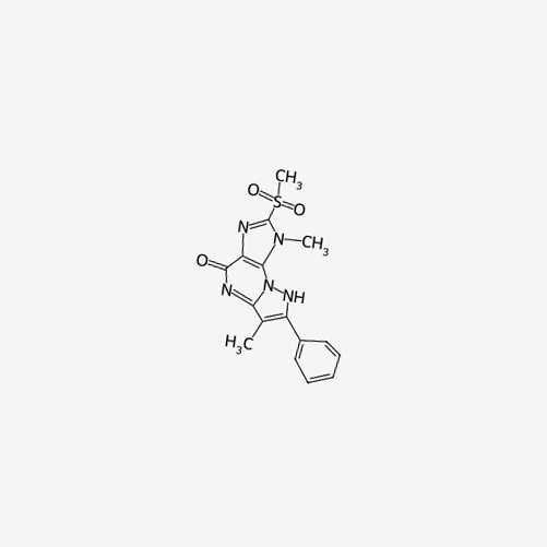 Cc1c(-c2ccccc2)[nH]n2c1nc(=O)c1nc(S(C)(=O)=O)n(C)c12